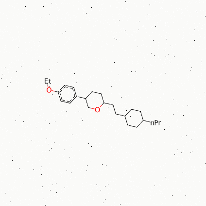 CCCC1CCC(CCC2CCC(c3ccc(OCC)cc3)CO2)CC1